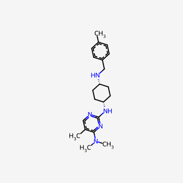 Cc1ccc(CN[C@H]2CC[C@@H](Nc3ncc(C)c(N(C)C)n3)CC2)cc1